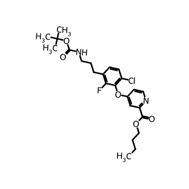 CCCCOC(=O)c1cc(Oc2c(Cl)ccc(CCCNC(=O)OC(C)(C)C)c2F)ccn1